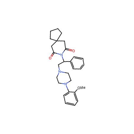 COc1ccccc1N1CCN(CC(c2ccccc2)N2C(=O)CC3(CCCC3)CC2=O)CC1